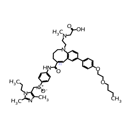 CCCCOCCOc1ccc(-c2ccc3c(c2)/C=C(/C(=O)Nc2ccc([S@@+]([O-])Cc4c(C)nc(C)n4CCC)cc2)CCCN3CCN(C)CC(=O)O)cc1